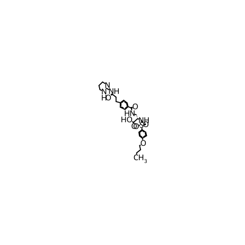 CCCCOc1ccc(S(=O)(=O)N[C@@H](CNC(=O)c2ccc(CCC(=O)NC3=NCCCN3)cc2)C(=O)O)cc1